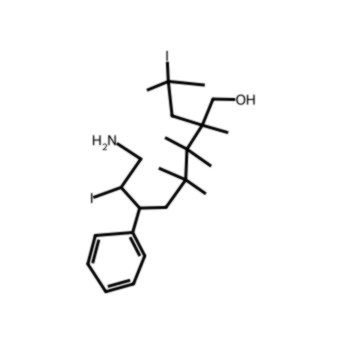 CC(C)(I)CC(C)(CO)C(C)(C)C(C)(C)CC(c1ccccc1)C(I)CN